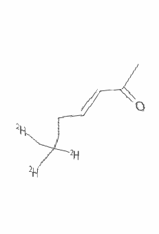 [2H]C([2H])([2H])CC=CC(C)=O